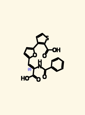 O=C(O)/C(=C/c1ccc(-c2ccsc2C(=O)O)o1)NC(=O)c1ccccc1